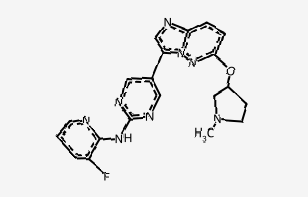 CN1CCC(Oc2ccc3ncc(-c4cnc(Nc5ncccc5F)nc4)n3n2)C1